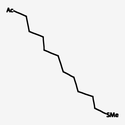 CSCCCCCCCCCCC(C)=O